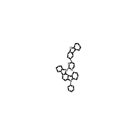 c1ccc(-n2c3ccccc3c3c2ccc2c4ccccc4n(-c4nccc(-c5ccc6oc7ccccc7c6c5)n4)c23)cc1